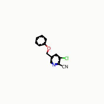 N#Cc1ncc(COc2ccccc2)cc1Cl